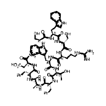 CC(C)C[C@@H](NC(=O)[C@@H](NC(=O)[C@@H](Cc1c[nH]c2ccccc12)NC(=O)[C@H](CCCNC(=N)N)NC(=O)[C@@H](CO)NC(=O)[C@H](Cc1c[nH]c2ccccc12)NC(=O)[C@H](C)CO)[C@H](C)O)C(=O)N[C@@H](C)[C@H](O)N[C@H](CC(C)C)C(=O)N[C@@H](CC(=O)O)C(N)=O